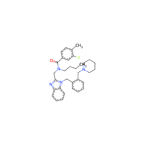 CCCCN(Cc1nc2ccccc2n1Cc1ccccc1CN1CCCCC1)C(=O)c1ccc(C)c(F)c1